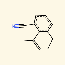 C=C(C)c1c(C#N)cccc1CC